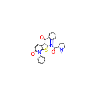 CN1CCC[C@@H]1C(=O)Nc1sc2c(ccc(=O)n2-c2ccccc2)c1C(=O)c1ccccc1